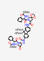 CCCCCC1(CCCCC)c2cc(NC(=O)[C@@H]3CC(=O)CN3C(=O)[C@H](NC(=O)OC)c3ccccc3)ccc2-c2ccc(NC(=O)[C@@H]3CC4(CN3C(=O)[C@H](NC(=O)OC)c3ccccc3)OCCO4)cc21